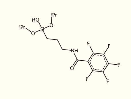 CC(C)O[Si](O)(CCCNC(=O)c1c(F)c(F)c(F)c(F)c1F)OC(C)C